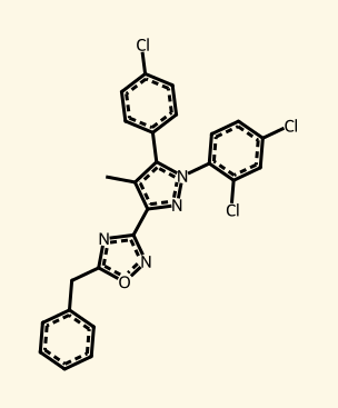 Cc1c(-c2noc(Cc3ccccc3)n2)nn(-c2ccc(Cl)cc2Cl)c1-c1ccc(Cl)cc1